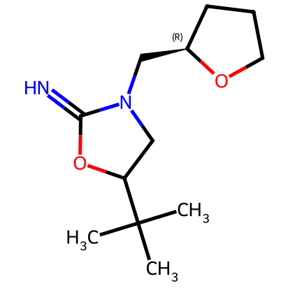 CC(C)(C)C1CN(C[C@H]2CCCO2)C(=N)O1